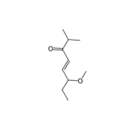 CCC(C=CC(=O)C(C)C)OC